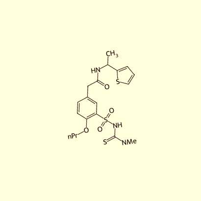 CCCOc1ccc(CC(=O)NC(C)c2cccs2)cc1S(=O)(=O)NC(=S)NC